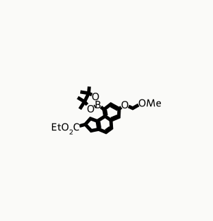 CCOC(=O)C1Cc2ccc3cc(OCOC)cc(B4OC(C)(C)C(C)(C)O4)c3c2C1